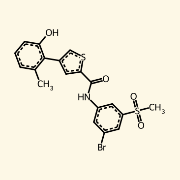 Cc1cccc(O)c1-c1csc(C(=O)Nc2cc(Br)cc(S(C)(=O)=O)c2)c1